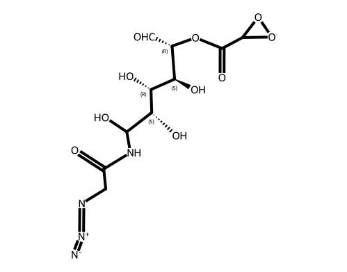 [N-]=[N+]=NCC(=O)NC(O)[C@@H](O)[C@H](O)[C@H](O)[C@H](C=O)OC(=O)C1OO1